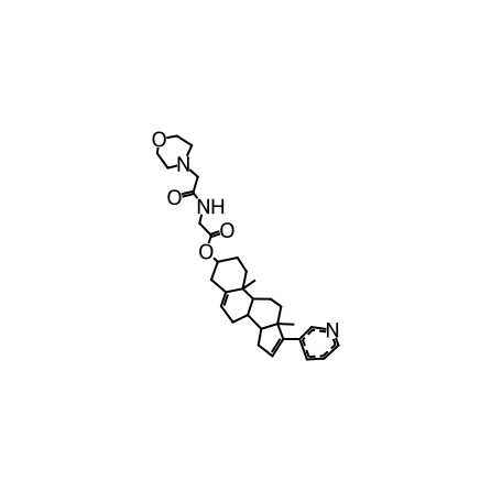 CC12CCC(OC(=O)CNC(=O)CN3CCOCC3)CC1=CCC1C2CCC2(C)C(c3cccnc3)=CCC12